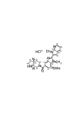 CCn1c(-c2nc3cc(C(=O)N4CC[C@H]5CCN[C@@H]5C4)cc(OC)c3n2C)cc2cccnc21.Cl